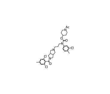 CC(=O)N1CCC(OC(=O)N(CCCN2CC3CN(C(=O)c4c(Cl)cc(C)cc4Cl)CC3C2)c2ccc(C)c(Cl)c2)CC1